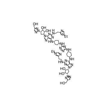 CCn1cnc(CCNc2nc(N[C@H]3CC[C@H](Nc4ncnc(N[C@H]5CC[C@H](Nc6nc(NCCc7cn(CC)cn7)nc7c6ncn7[C@@H]6C[C@H](n7ncc(CO)n7)[C@@H](O)[C@H]6O)CC5)n4)CC3)c3ncn([C@@H]4C[C@H](n5ncc(CO)n5)[C@@H](O)[C@H]4O)c3n2)c1